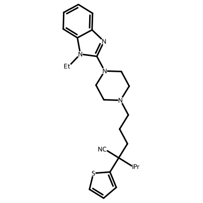 CCn1c(N2CCN(CCCC(C#N)(c3cccs3)C(C)C)CC2)nc2ccccc21